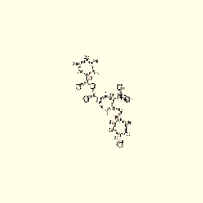 O=C(OC(=O)c1ccc(Sc2ccc(Cl)cc2)c([N+](=O)[O-])c1)c1ccccc1